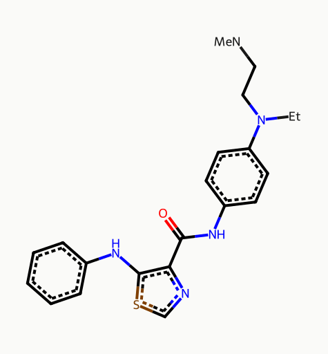 CCN(CCNC)c1ccc(NC(=O)c2ncsc2Nc2ccccc2)cc1